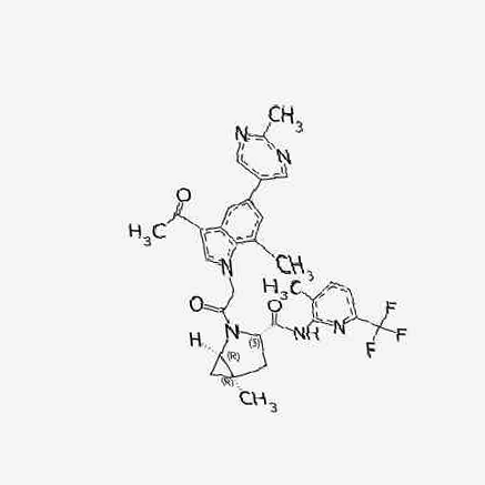 CC(=O)c1cn(CC(=O)N2[C@H](C(=O)Nc3nc(C(F)(F)F)ccc3C)C[C@@]3(C)C[C@@H]23)c2c(C)cc(-c3cnc(C)nc3)cc12